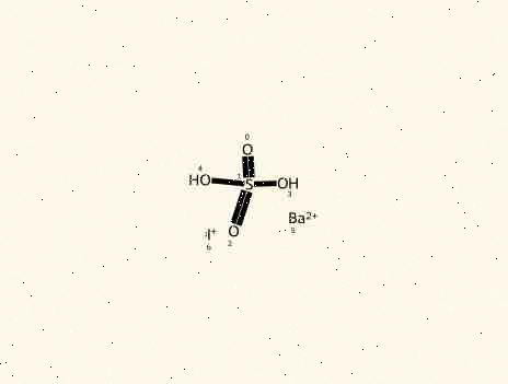 O=S(=O)(O)O.[Ba+2].[I+]